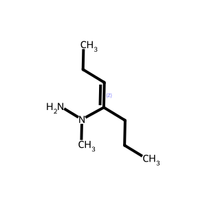 CC/C=C(/CCC)N(C)N